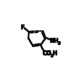 NC1=CC=C(F)CC=C1C(=O)O